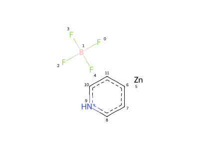 F[B-](F)(F)F.[Zn].c1cc[nH+]cc1